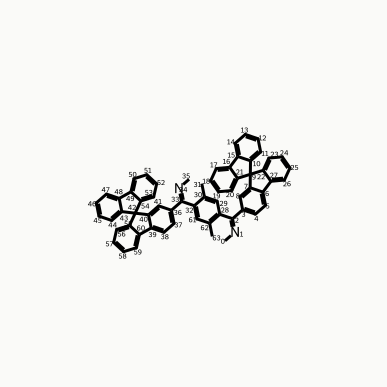 C/N=C(/c1ccc2c(c1)C1(c3ccccc3-c3ccccc31)c1ccccc1-2)c1cc(C)c(/C(=N\C)c2ccc3c(c2)C2(c4ccccc4-c4ccccc42)c2ccccc2-3)cc1C